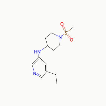 CCc1cncc(NC2CCN(S(C)(=O)=O)CC2)c1